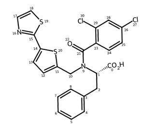 O=C(O)[C@H](Cc1ccccc1)N(Cc1ccc(-c2nccs2)s1)C(=O)c1ccc(Cl)cc1Cl